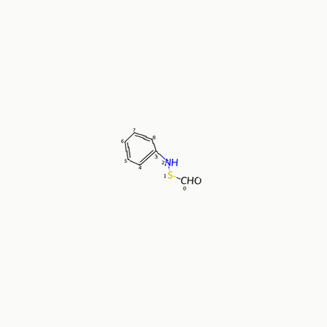 O=CSNc1ccccc1